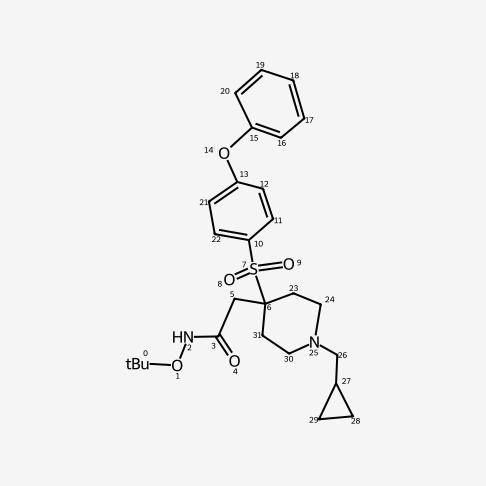 CC(C)(C)ONC(=O)CC1(S(=O)(=O)c2ccc(Oc3ccccc3)cc2)CCN(CC2CC2)CC1